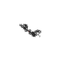 Cc1ccc(-c2nn(C3CCCN(CCC(=O)N4CCC[C@@H](n5nc(-c6ccc(Oc7ccccc7)cc6)c6c(N)ncnc65)C4)C3)c3ncnc(N)c23)cc1